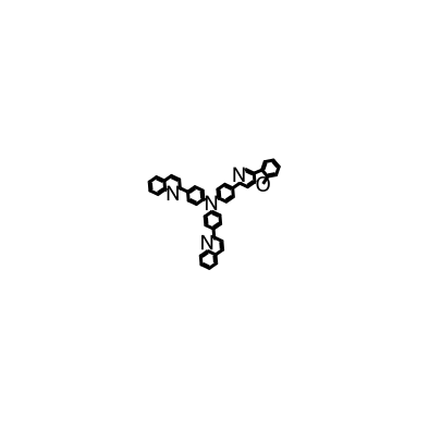 c1ccc2nc(-c3ccc(N(c4ccc(-c5cc6oc7ccccc7c6cn5)cc4)c4ccc(-c5ccc6ccccc6n5)cc4)cc3)ccc2c1